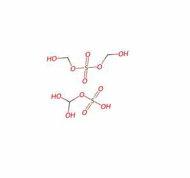 O=S(=O)(O)OC(O)O.O=S(=O)(OCO)OCO